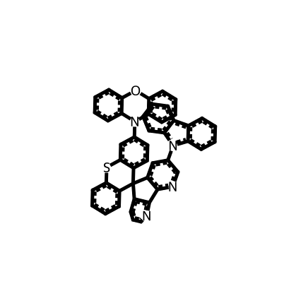 c1ccc2c(c1)Oc1ccccc1N2c1ccc2c(c1)Sc1ccccc1C21c2cccnc2-c2ncc(-n3c4ccccc4c4ccccc43)cc21